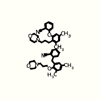 Cc1cc(C)c(CCCN2CCOCC2)c(Oc2ccccc2C#N)c1.Cc1cc(C)c(OCCCN2CCOCC2)c(Cc2ccccc2C#N)c1